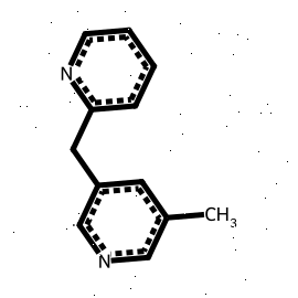 Cc1cn[c]c(Cc2ccccn2)c1